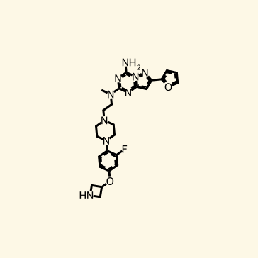 CN(CCN1CCN(c2ccc(OC3CNC3)cc2F)CC1)c1nc(N)n2nc(-c3ccco3)cc2n1